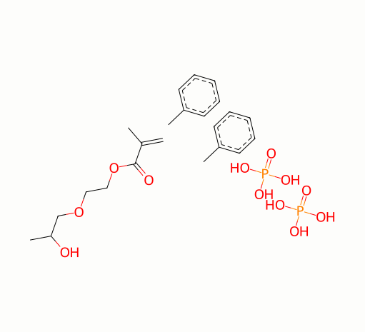 C=C(C)C(=O)OCCOCC(C)O.Cc1ccccc1.Cc1ccccc1.O=P(O)(O)O.O=P(O)(O)O